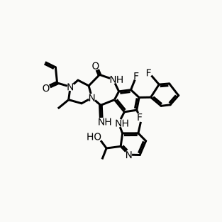 C=CC(=O)N1CC2C(=O)Nc3c(F)c(-c4ccccc4F)c(F)c(Nc4c(C)ccnc4C(C)O)c3C(=N)N2CC1C